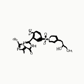 CCCc1nc(C)c2c(=O)[nH]c(-c3cc(S(=O)(=O)N4CCC(CC(O)CO)CC4)ccc3OCC)nn12